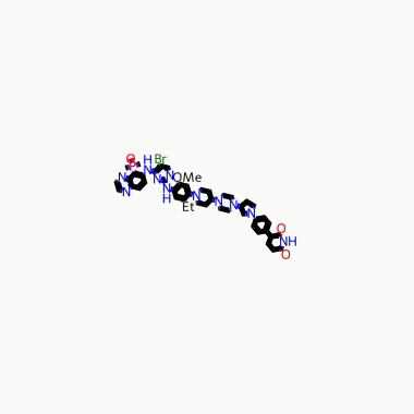 CCc1cc(Nc2ncc(Br)c(Nc3ccc4nccnc4c3P(C)(C)=O)n2)c(OC)cc1N1CCC(N2CCN(C3CCN(c4ccc(C5CCC(=O)NC5=O)cc4)C3)CC2)CC1